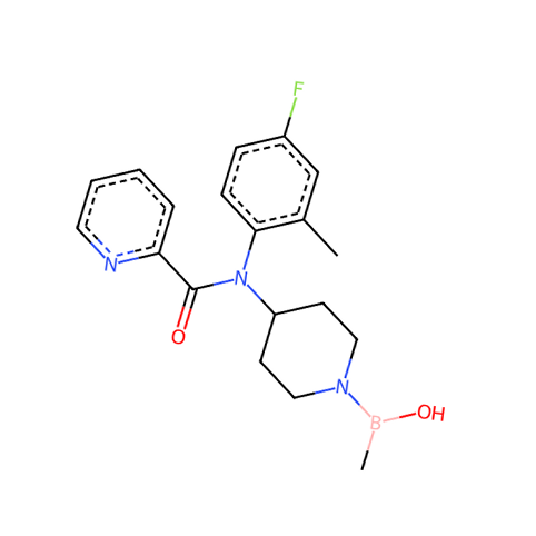 CB(O)N1CCC(N(C(=O)c2ccccn2)c2ccc(F)cc2C)CC1